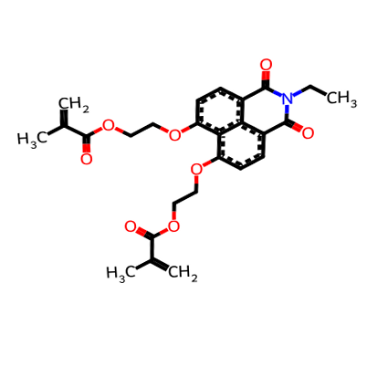 C=C(C)C(=O)OCCOc1ccc2c3c(ccc(OCCOC(=O)C(=C)C)c13)C(=O)N(CC)C2=O